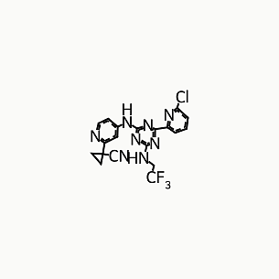 N#CC1(c2cc(Nc3nc(NCC(F)(F)F)nc(-c4cccc(Cl)n4)n3)ccn2)CC1